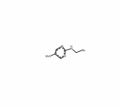 CCC(C)CNc1ncc(SC)cn1